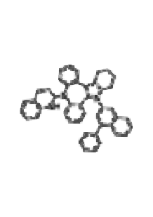 C1=Cc2c(c3c(n2-c2cc(-c4ccccc4)c4ccccc4c2)-c2ccccc2N(C2C=Cc4ccccc4N2)c2ccccc2-3)CC1